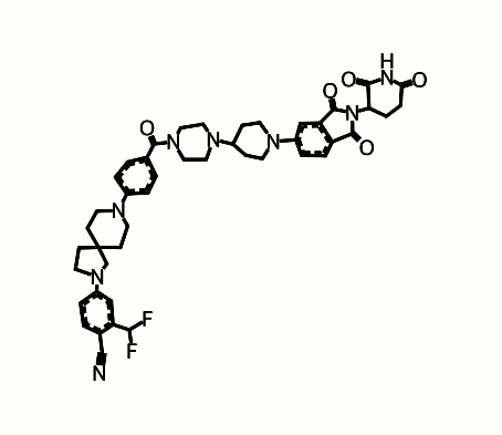 N#Cc1ccc(N2CCC3(CCN(c4ccc(C(=O)N5CCN(C6CCN(c7ccc8c(c7)C(=O)N(C7CCC(=O)NC7=O)C8=O)CC6)CC5)cc4)CC3)C2)cc1C(F)F